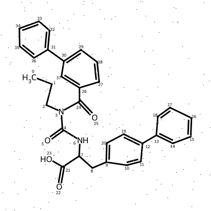 CCCN(C(=O)NC(Cc1ccc(-c2ccccc2)cc1)C(=O)O)C(=O)c1cccc(-c2ccccc2)c1